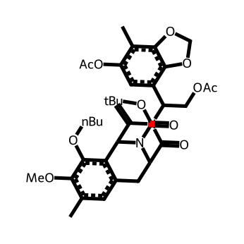 C=C1C2c3c(cc(C)c(OC)c3OCCCC)CC(C(=O)N1C(COC(C)=O)c1cc(OC(C)=O)c(C)c3c1OCO3)N2C(=O)OC(C)(C)C